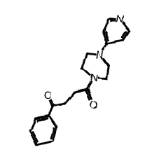 O=C(CCC(=O)N1CCN(c2ccncc2)CC1)c1ccccc1